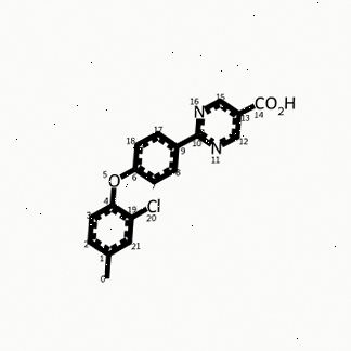 Cc1ccc(Oc2ccc(-c3ncc(C(=O)O)cn3)cc2)c(Cl)c1